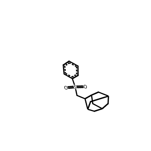 O=S(=O)(CC1C2CC3CC(C2)CC1C3)c1ccccc1